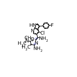 C=C(C(=O)N(C)C)/C(N)=N\C=C(/N)c1cnc2[nH]cc(-c3ccc(F)cc3)c2c1Cl